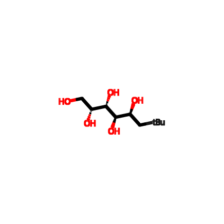 CC(C)(C)C[C@H](O)[C@@H](O)[C@@H](O)[C@H](O)CO